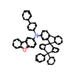 c1ccc(-c2ccc(N(c3ccc4c(c3)C3(c5ccccc5-4)c4ccccc4C(c4ccccc4)(c4ccccc4)c4ccccc43)c3ccc4oc5ccccc5c4c3)cc2)cc1